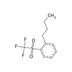 CCCCc1ccccc1S(=O)(=O)C(F)(F)F